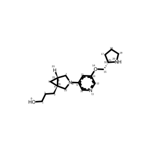 OCCC[C@@]12C[C@@H]1CN(c1cncc(OC[C@@H]3CCCN3)c1)C2